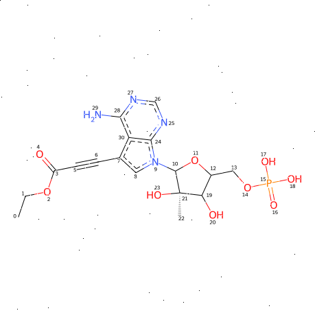 CCOC(=O)C#Cc1cn(C2OC(COP(=O)(O)O)C(O)[C@@]2(C)O)c2ncnc(N)c12